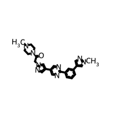 CN1CCN(C(=O)Cn2cc(-c3cnc(-c4cccc(-c5cnn(C)c5)c4)nc3)cn2)CC1